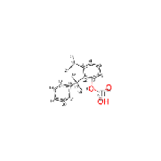 CC(C)c1cccc([O][Ti](=[O])[OH])c1C(C)(C)c1ccccc1